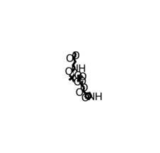 COC(=O)CCNC(=O)[C@@H]1OP(=O)(OCOC(=O)C2CNCO2)OCC1(C)C